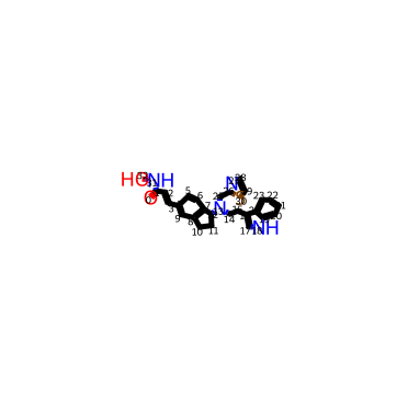 O=C(/C=C/c1ccc2c(c1)CCC2N(CCc1c[nH]c2ccccc12)Cc1nccs1)NO